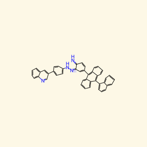 N=C1C=CC(c2c3ccccc3c(-c3cccc4ccccc34)c3ccccc23)=C/C1=N/Nc1ccc(-c2cnc3ccccc3c2)cc1